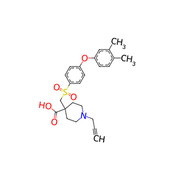 C#CCN1CCC(CS(=O)(=O)c2ccc(Oc3ccc(C)c(C)c3)cc2)(C(=O)O)CC1